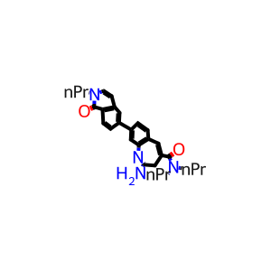 CCCN(CCC)C(=O)C1=Cc2ccc(-c3ccc4c(=O)n(CCC)ccc4c3)cc2N=C(N)C1